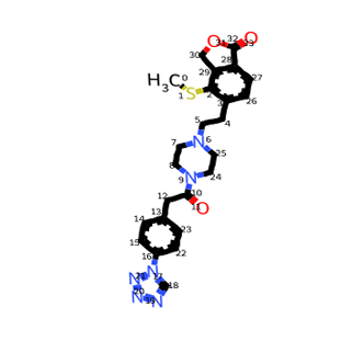 CSc1c(CCN2CCN(C(=O)Cc3ccc(-n4cnnn4)cc3)CC2)ccc2c1COC2=O